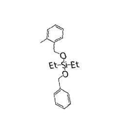 CC[Si](CC)(OCc1ccccc1)OCc1ccccc1C